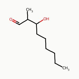 CCCCCCC(O)C(C)C=O